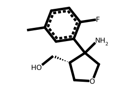 Cc1ccc(F)c(C2(N)COC[C@@H]2CO)c1